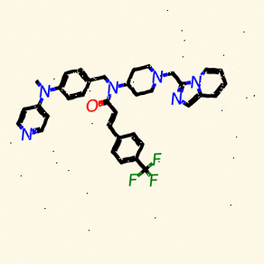 CN(c1ccncc1)c1ccc(CN(C(=O)/C=C/c2ccc(C(F)(F)F)cc2)C2CCN(Cc3ncc4ccccn34)CC2)cc1